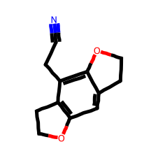 N#CCc1c2c(cc3c1OCC3)OCC2